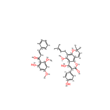 COc1c(CC=C(C)C)c2c(c3oc(=O)c(-c4ccc(O)cc4)c(O)c13)C=CC(C)(C)O2.COc1cc(O)c(C(=O)C=Cc2ccccc2)c(OC)c1